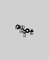 O=C(N[C@@H]1CN2CCC1CC2)c1n[nH]c2cc(C3(Br)CC3)ccc12